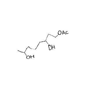 CC(=O)OCCC(O)CCCC(C)O